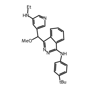 CCNc1cncc(C(OC)c2nnc(Nc3ccc(C(C)(C)C)cc3)c3ccccc23)c1